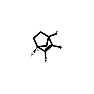 FC1=C(F)[C@]2(F)CCC1(F)C2